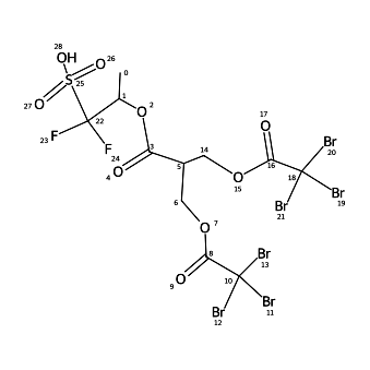 CC(OC(=O)C(COC(=O)C(Br)(Br)Br)COC(=O)C(Br)(Br)Br)C(F)(F)S(=O)(=O)O